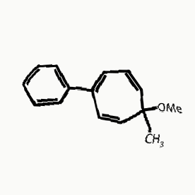 COC1(C)C=CC=C(c2ccccc2)C=C1